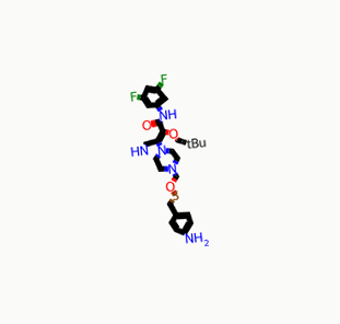 CC(C)(C)CO/C(C(=O)Nc1cc(F)cc(F)c1)=C(/C=N)N1CCN(COSCc2ccc(N)cc2)CC1